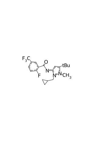 Cn1c(C(C)(C)C)cc(=NC(=O)c2cc(C(F)(F)F)ccc2F)n1CC1CC1